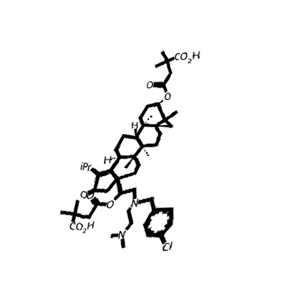 CC(C)C1=C2[C@H]3CC[C@@H]4[C@@]5(C)CC[C@H](OC(=O)CC(C)(C)C(=O)O)C6(C)C[C@]65CC[C@@]4(C)[C@]3(C)CCC2(C(CN(CCN(C)C)Cc2ccc(Cl)cc2)OC(=O)CC(C)(C)C(=O)O)CC1=O